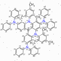 Cc1cc(C)c(N2c3cc(N(c4ccccc4)c4ccccc4)ccc3B3c4ccc(N(c5ccccc5)c5ccccc5)cc4N(c4c(C)cc(C)cc4C)c4cc(N(c5ccccc5)c5ccccc5)cc2c43)c(C)c1